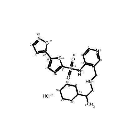 CC(CNCc1cnccc1NS(=O)(=O)c1ccc(-c2ccno2)s1)C1CCCCC1.Cl